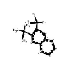 CC(C)(C)c1cc2ncccc2cc1C(F)(F)F